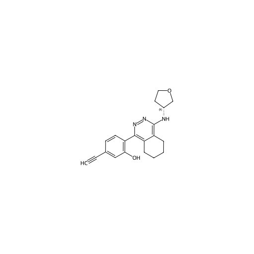 C#Cc1ccc(-c2nnc(N[C@@H]3CCOC3)c3c2CCCC3)c(O)c1